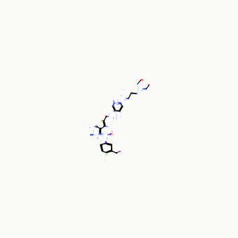 O=C(Nc1ccc(NCCCN2CCOCC2)nc1)c1sc2ncnc3c2c1NC(=O)N3c1ccc(F)c(CI)c1